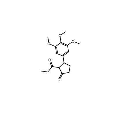 CCC(=O)C1C(=O)CCC1c1cc(OC)c(OC)c(OC)c1